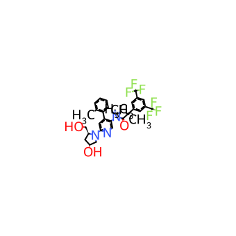 Cc1ccccc1-c1cc(N2C[C@H](O)C[C@H]2CO)ncc1N(C)C(=O)C(C)(C)c1cc(C(F)(F)F)cc(C(F)(F)F)c1